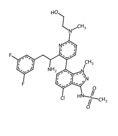 CN(CCO)c1ccc(-c2ccc(Cl)c3c(NS(C)(=O)=O)nn(C)c23)c(C(N)Cc2cc(F)cc(F)c2)n1